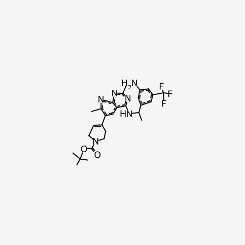 Cc1nc(NC(C)c2cc(N)cc(C(F)(F)F)c2)c2cc(C3=CCN(C(=O)OC(C)(C)C)CC3)c(C)nc2n1